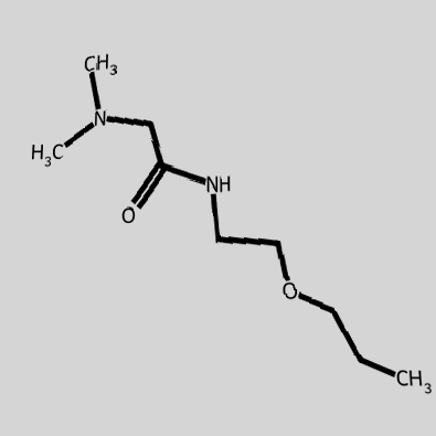 CCCOCCNC(=O)CN(C)C